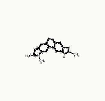 Cc1cc2cc3ccc4cc5cc(C)n(C)c5cc4c3cc2s1